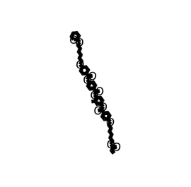 C=CC(=O)OCCCCCCOc1ccc(C(=O)Oc2ccc(OC(=O)c3ccc(OC(=O)C4CCC(OCCCCCCOC5CCCCO5)CC4)cc3)c(C)c2)cc1